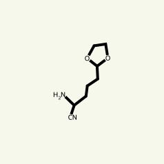 N#CC(N)CCCC1OCCO1